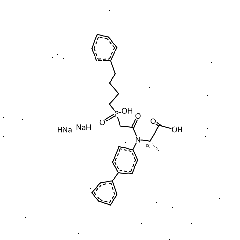 C[C@@H](C(=O)O)N(C(=O)CP(=O)(O)CCCCc1ccccc1)c1ccc(-c2ccccc2)cc1.[NaH].[NaH]